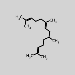 CC(C)=CCCC(C)=C[CH]C(C)CCC=C(C)C